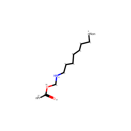 CCCCCCCCCCCCCCCCNCOC(=O)CCC